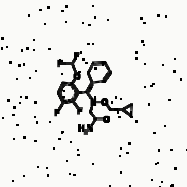 NC(=O)CN(OCC1CC1)C(=C1C=CC=CC1)c1c(OC(F)F)ccc(F)c1F